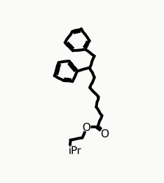 CC(C)CCOC(=O)CCCCCC(Cc1ccccc1)c1ccccc1